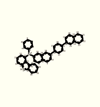 c1ccc(N(c2ccc3ccc(-c4ccc(-c5ccc6ccccc6c5)cc4)cc3c2)c2cccc3sc4ccccc4c23)cc1